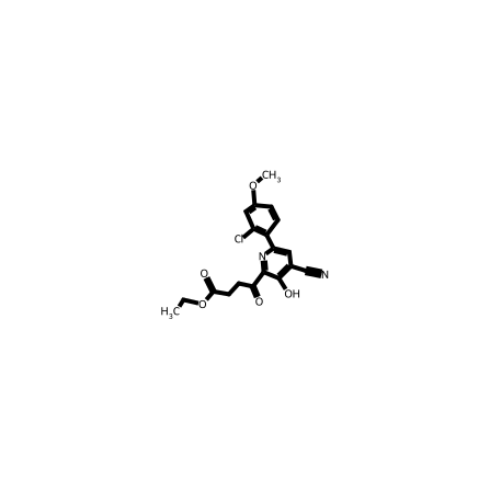 CCOC(=O)CCC(=O)c1nc(-c2ccc(OC)cc2Cl)cc(C#N)c1O